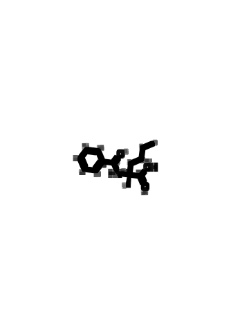 CCCC[C@@](C)(NC(=O)c1ccccc1)C(=O)O